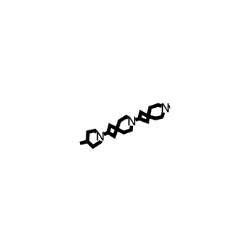 CC1CCN(C2CC3(CCN(C4CC5(CCN(C)CC5)C4)CC3)C2)CC1